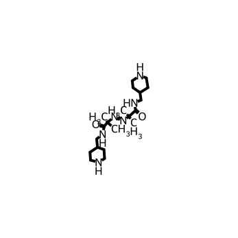 CC(C)(N=NC(C)(C)C(=O)NCC1CCNCC1)C(=O)NCC1CCNCC1